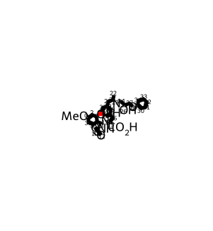 COC1=CC(=C=O)C(C(NS(C)(=O)=O)n2c(C(=O)O)cc3cc(CC(C)NCC(O)COc4ccccc4)ccc32)C=C1